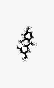 CCN(c1nc(C)cc(C=S)n1)c1ccc(C(C)C)cc1Br